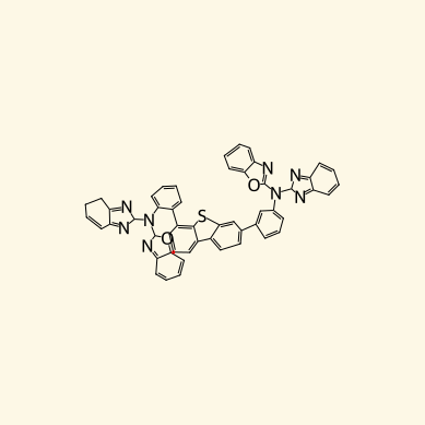 C1=CC2=NC(N(c3ccccc3-c3cccc4c3sc3cc(-c5cccc(N(c6nc7ccccc7o6)C6N=c7ccccc7=N6)c5)ccc34)C3N=C4C=CCCC4=N3)OC2C=C1